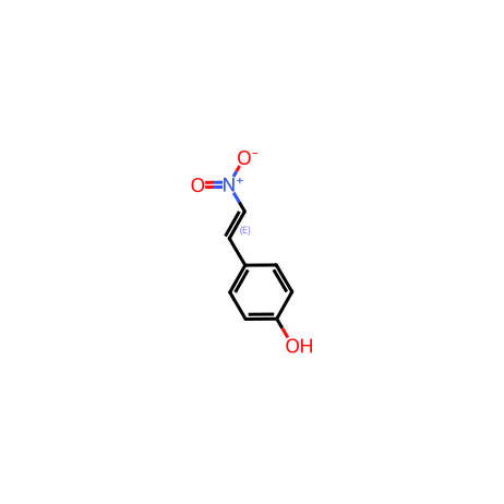 O=[N+]([O-])/C=C/c1ccc(O)cc1